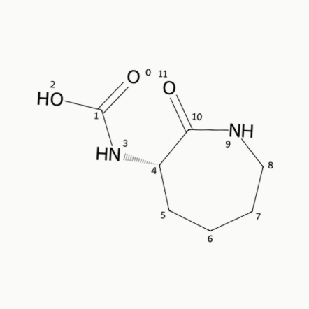 O=C(O)N[C@H]1CCCCNC1=O